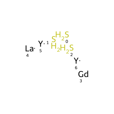 S.S.S.[Gd].[La].[Y].[Y]